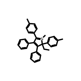 CCC1(c2ccc(C)cc2)C(c2ccccc2)=C(c2ccccc2)C(c2ccc(C)cc2)=[Si]1C